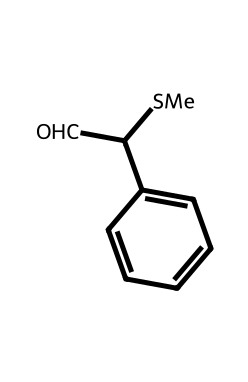 CS[C](C=O)c1ccccc1